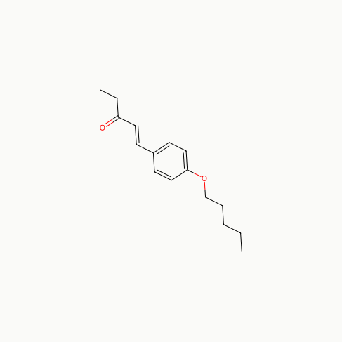 CCCCCOc1ccc(/C=C/C(=O)CC)cc1